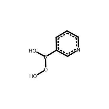 OOB(O)c1cccnc1